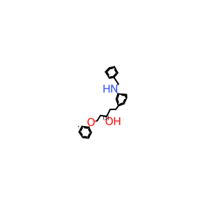 O[C@H](CCOc1[c]cccc1)CCc1cccc(NCc2ccccc2)c1